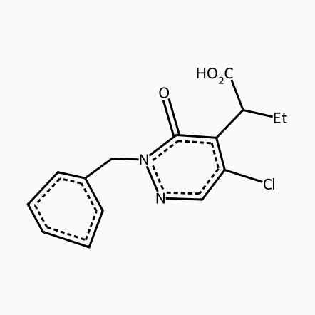 CCC(C(=O)O)c1c(Cl)cnn(Cc2ccccc2)c1=O